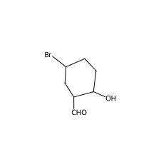 O=CC1CC(Br)CCC1O